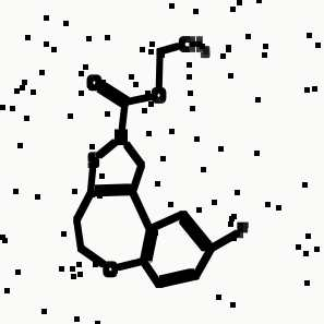 CCOC(=O)N1CC2=C(CCOc3ccc(F)cc32)S1